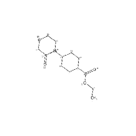 CCOC(=O)C1CCC(N2CCOCC2=O)CC1